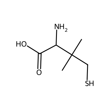 CC(C)(CS)C(N)C(=O)O